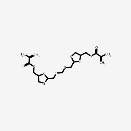 C=C(C)C(=O)SCC1CSC(CSCSCC2SCC(CSC(=O)C(=C)C)S2)S1